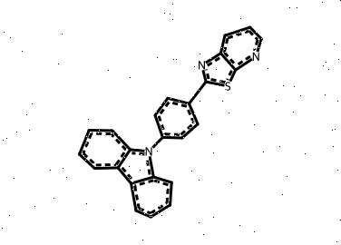 c1cnc2sc(-c3ccc(-n4c5ccccc5c5ccccc54)cc3)nc2c1